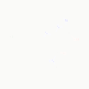 CC(C)(C)NC(=O)c1cc(-c2ccc(Cl)cc2)nc(-n2ccnc2C(C)(C)O)c1